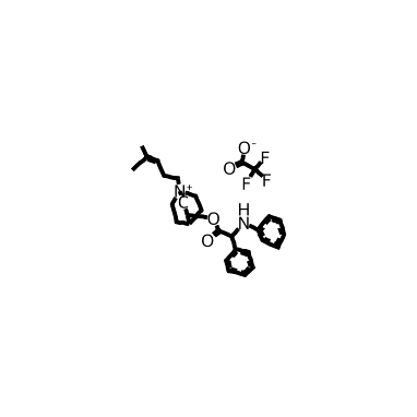 CC(C)=CCC[N+]12CCC(CC1)C(OC(=O)C(Nc1ccccc1)c1ccccc1)C2.O=C([O-])C(F)(F)F